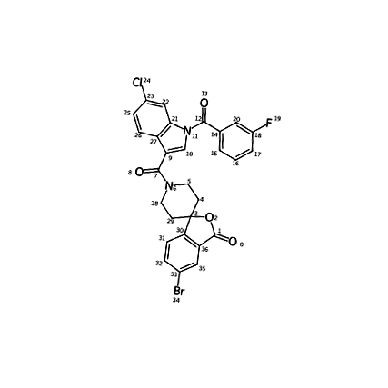 O=C1OC2(CCN(C(=O)c3cn(C(=O)c4cccc(F)c4)c4cc(Cl)ccc34)CC2)c2ccc(Br)cc21